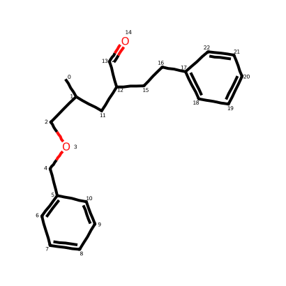 CC(COCc1ccccc1)CC([C]=O)CCc1ccccc1